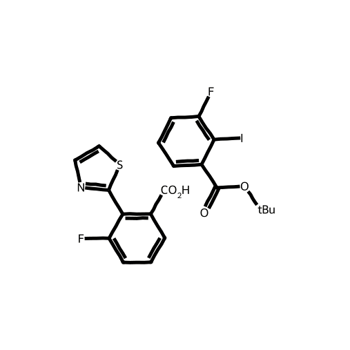 CC(C)(C)OC(=O)c1cccc(F)c1I.O=C(O)c1cccc(F)c1-c1nccs1